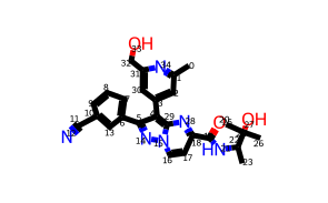 Cc1cc(-c2c(-c3cccc(C#N)c3)nn3ccc(C(=O)NC(C)C(C)(C)O)nc23)cc(CO)n1